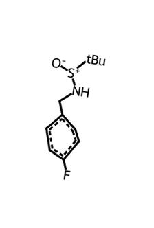 CC(C)(C)[S+]([O-])NCc1ccc(F)cc1